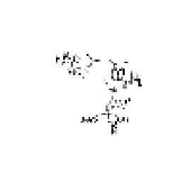 C=C(C)C(=O)O.C=C(C)C(=O)O.C=C(C)C(=O)O.CCC(CO)(CO)CO.O.[AlH3]